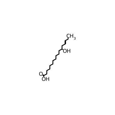 CCC=CCC(O)CCCCCCCCCCC(=O)O